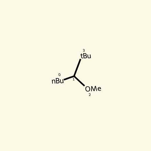 CCCCC(OC)C(C)(C)C